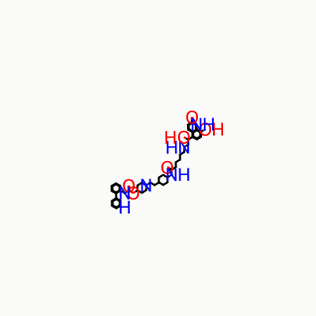 O=C(CCCCCNCC(O)c1ccc(O)c2[nH]c(=O)ccc12)NC1CCC(CCN2CCC(OC(=O)Nc3ccccc3-c3ccccc3)CC2)CC1